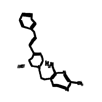 Cc1ncc(CN2CC=C(C=Cc3ccccc3)CC2)c(N)n1.Cl